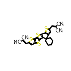 N#CC(C#N)=Cc1cc2c(s1)-c1sc3c(sc4cc(C=C(C#N)C#N)sc43)c1C21CCCCC1